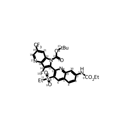 CCOC(=O)Nc1ccc2cc(S(=O)(=O)CC)c(-c3c(F)c4ncc(C(F)(F)F)cc4n3C(=O)OC(C)(C)C)nc2c1